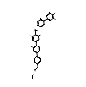 CCOCCc1ccc(-c2ccc(-c3cc(F)c(C(F)(F)Oc4ccc(-c5cc(F)c(F)c(F)c5)c(F)c4)c(F)c3)c(F)c2)cc1